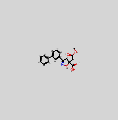 COC(=O)CC1(C(=O)O)CC(c2cccc(-c3ccccc3)c2)=NO1